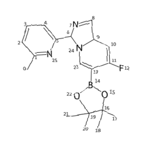 Cc1cccc(C2N=CC3C=C(F)C(B4OC(C)(C)C(C)(C)O4)=CN32)n1